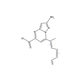 Bc1cc2nc(C(=C)CC)cc(/C(C)=C/C=C\C=C)n2n1